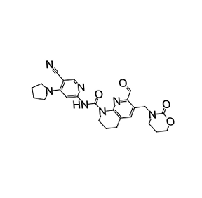 N#Cc1cnc(NC(=O)N2CCCc3cc(CN4CCCOC4=O)c(C=O)nc32)cc1N1CCCC1